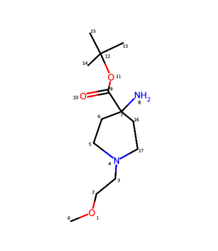 COCCN1CCC(N)(C(=O)OC(C)(C)C)CC1